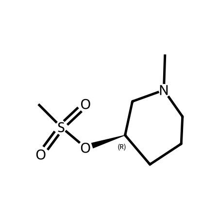 CN1CCC[C@@H](OS(C)(=O)=O)C1